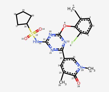 Cc1cccc(F)c1Oc1nc(NS(=O)(=O)C2CCCC2)nc(-c2cc(C)c(=O)n(C)c2)n1